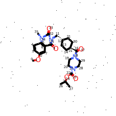 COc1ccc2c(c1)c(=O)n(C[C@H]1CC[C@H](C(=O)N3CCN(C(=O)OC(C)C)CC3)CC1)c(=O)n2C